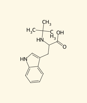 CC(C)(C)NC(Cc1c[nH]c2ccccc12)C(=O)O